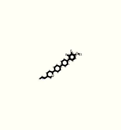 C/C=C/C1CCC(C2CCC(C3CCC(c4ccc(OCC)c(F)c4F)CC3)CC2)OC1